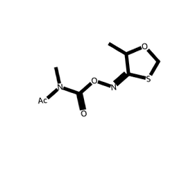 CC(=O)N(C)C(=O)ON=C1SCOC1C